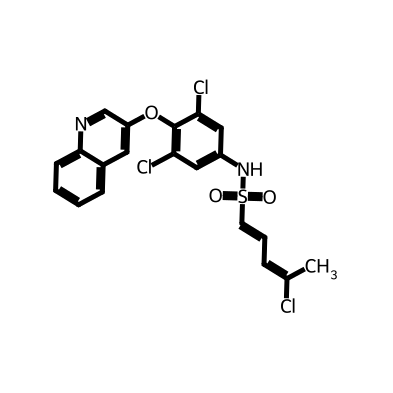 C/C(Cl)=C\C=C\S(=O)(=O)Nc1cc(Cl)c(Oc2cnc3ccccc3c2)c(Cl)c1